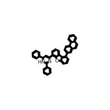 C1=C(c2cccc3c2oc2cccc(-c4ccc5c(ccc6ccccc65)c4)c23)N=C(c2ccccc2)NC1c1ccccc1